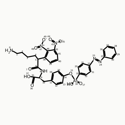 NCCCCC(C(=O)N[C@@H](Cc1ccc(O[As](=O)(O)c2ccc(N=Nc3ccccc3)cc2)cc1)C(=O)O)c1cccc([N+](=O)[O-])c1[N+](=O)[O-]